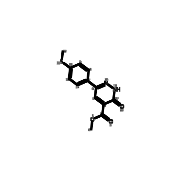 COC(=O)c1cc(-c2ccc(SC)cc2)n[nH]c1=O